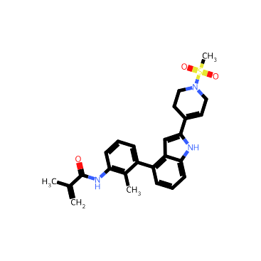 C=C(C)C(=O)Nc1cccc(-c2cccc3[nH]c(C4=CCN(S(C)(=O)=O)CC4)cc23)c1C